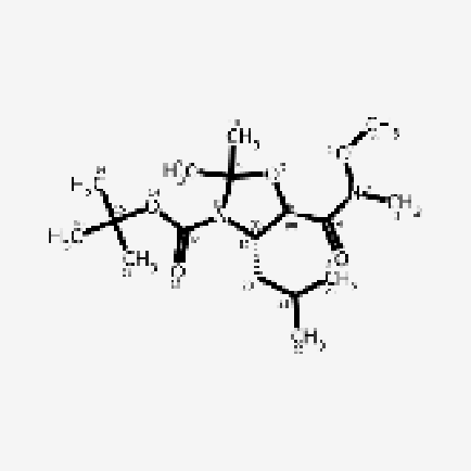 CON(C)C(=O)[C@@H]1OC(C)(C)N(C(=O)OC(C)(C)C)[C@H]1CC(C)C